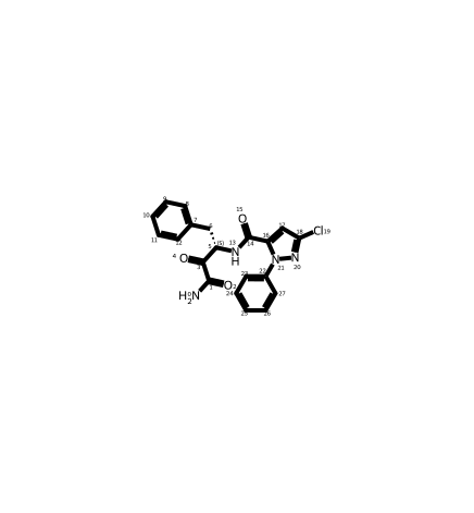 NC(=O)C(=O)[C@H](Cc1ccccc1)NC(=O)c1cc(Cl)nn1-c1ccccc1